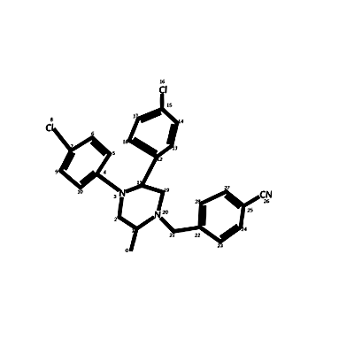 CC1CN(c2ccc(Cl)cc2)C(c2ccc(Cl)cc2)CN1Cc1ccc(C#N)cc1